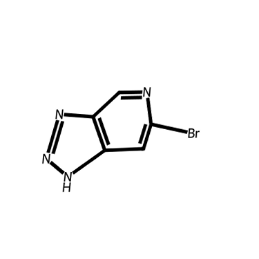 Brc1cc2[nH]nnc2cn1